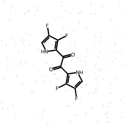 O=C(C(=O)c1[nH]cc(F)c1F)c1[nH]cc(F)c1F